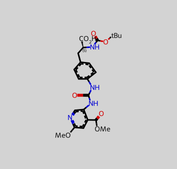 COC(=O)c1cc(OC)ncc1NC(=O)Nc1ccc(C[C@H](NC(=O)OC(C)(C)C)C(=O)O)cc1